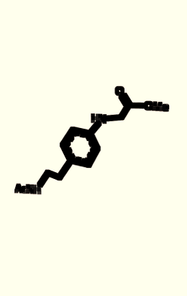 COC(=O)CNc1ccc(CCNC(C)=O)cc1